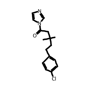 CC(C)(CCc1ccc(Cl)cc1)CC(=O)n1ccnc1